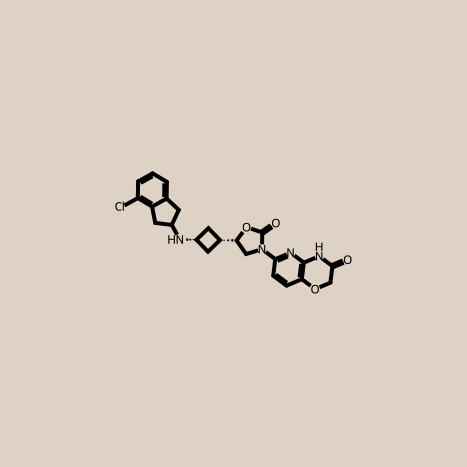 O=C1COc2ccc(N3CC([C@H]4C[C@@H](NC5Cc6cccc(Cl)c6C5)C4)OC3=O)nc2N1